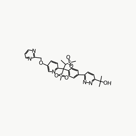 CC(C(c1ccc(-c2ccc(C(C)(C)O)nn2)cc1)(c1ccc(OCc2ncccn2)cn1)S(C)(=O)=O)S(C)(=O)=O